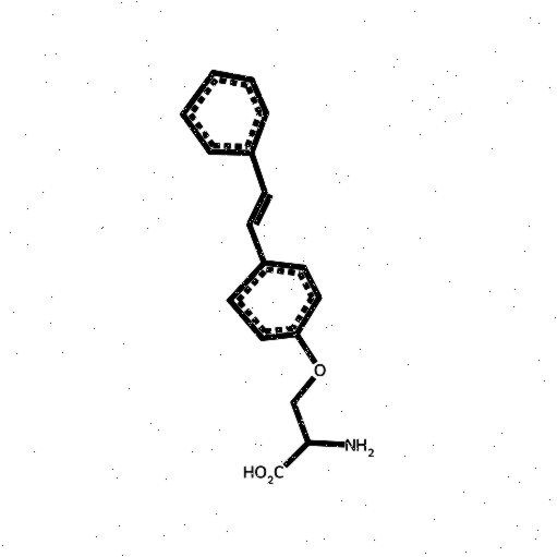 NC(COc1ccc(/C=C/c2ccccc2)cc1)C(=O)O